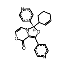 O=C1OC=CN2C1=C(c1ccncc1)O[C@@]2(c1ccncc1)C1C=CCCC1